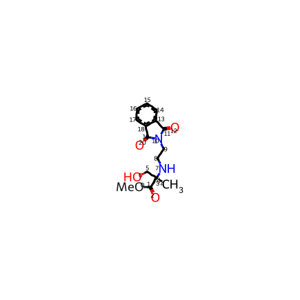 COC(=O)[C@](C)(CO)NCCN1C(=O)c2ccccc2C1=O